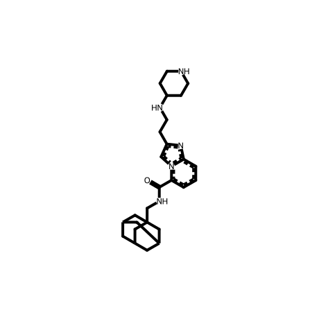 O=C(NCC12CC3CC(CC(C3)C1)C2)c1cccc2nc(CCNC3CCNCC3)cn12